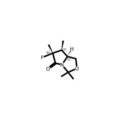 C[C@H]1[C@H]2COC(C)(C)N2C(=O)[C@]1(C)F